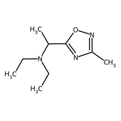 CCN(CC)C(C)c1nc(C)no1